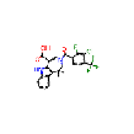 CC1(C)CN(C(=O)c2ccc(C(F)(F)F)c(Cl)c2F)C=C(C(=O)O)c2[nH]c3ccccc3c21